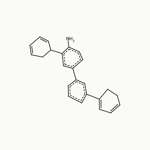 Nc1ccc(-c2cccc(C3=CC=CCC3)c2)cc1C1C=CC=CC1